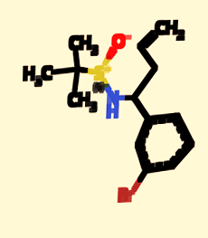 C=CCC(N[S@+]([O-])C(C)(C)C)c1cccc(Br)c1